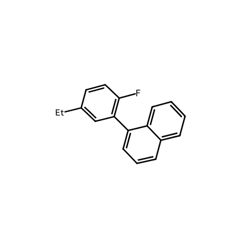 CCc1ccc(F)c(-c2cccc3ccccc23)c1